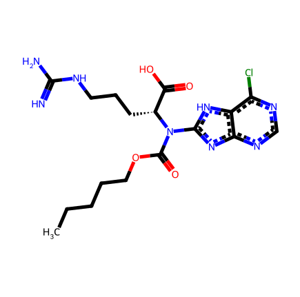 CCCCCOC(=O)N(c1nc2ncnc(Cl)c2[nH]1)[C@H](CCCNC(=N)N)C(=O)O